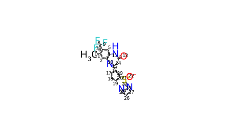 Cc1cc2c(cc1C(F)(F)F)NC(=O)CC(c1cccc([S+]([O-])c3ncccn3)c1)=N2